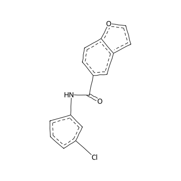 O=C(Nc1cccc(Cl)c1)c1ccc2occc2c1